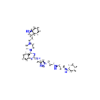 c1ccc2c(N3CCN(CCc4c[nH]c5ccccc45)CC3)nc(NCc3cn(CCCNCCCNC4CCCCC4)nn3)nc2c1